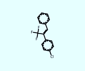 FC(F)(F)C(=Cc1ccccc1)c1ccc(Cl)cc1